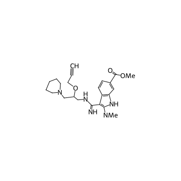 C#CCOC(CNC(=N)c1c(NC)[nH]c2cc(C(=O)OC)ccc12)CN1CCCCC1